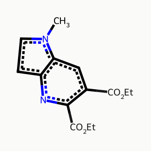 CCOC(=O)c1cc2c(ccn2C)nc1C(=O)OCC